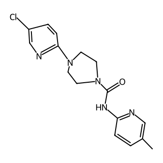 Cc1ccc(NC(=O)N2CCN(c3ccc(Cl)cn3)CC2)nc1